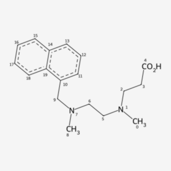 CN(CCC(=O)O)CCN(C)Cc1cccc2ccccc12